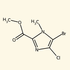 COC(=O)c1nc(Cl)c(Br)n1C